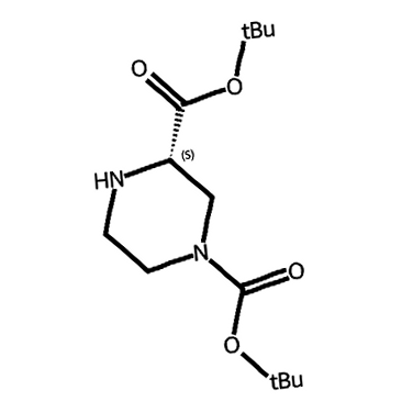 CC(C)(C)OC(=O)[C@@H]1CN(C(=O)OC(C)(C)C)CCN1